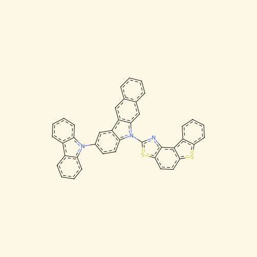 c1ccc2cc3c(cc2c1)c1cc(-n2c4ccccc4c4ccccc42)ccc1n3-c1nc2c(ccc3sc4ccccc4c32)s1